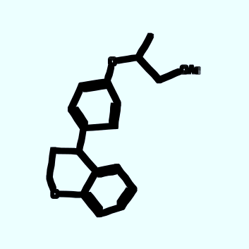 CC(=O)OCC(C)Oc1ccc(C2CCOc3ccccc32)cc1